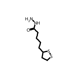 NNC(=O)CCCCC1CCSS1